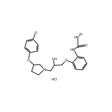 CCNC(=O)Nc1ccccc1OCC(O)CN1CCC(Oc2ccc(Cl)cc2)C1.Cl